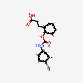 O=C(O)CCc1ccccc1OC(=O)Nc1ccc(Br)cc1